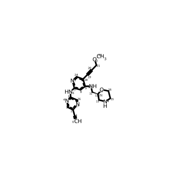 C#Cc1cnc(Nc2cc(NC[C@@H]3CNCCO3)c(C#CCOC)cn2)cn1